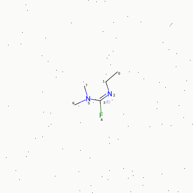 CC/N=C(/F)N(C)C